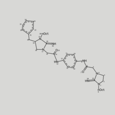 CCCCCCCCN1CCN(CC(=O)Nc2ccc(NC(=O)CN3CC(Cc4ccccc4)N(CCCCCCCC)C3=N)cc2)C1=N